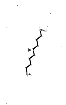 CCCCCCCCCCCCCCCOC(C)=O.[Zn]